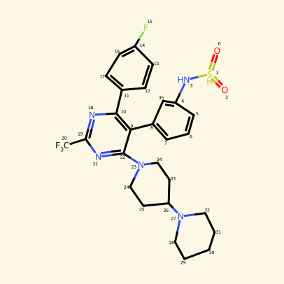 O=[SH](=O)Nc1cccc(-c2c(-c3ccc(F)cc3)nc(C(F)(F)F)nc2N2CCC(N3CCCCC3)CC2)c1